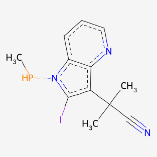 CPn1c(I)c(C(C)(C)C#N)c2ncccc21